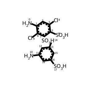 Nc1cc(Cl)c(S(=O)(=O)O)cc1Cl.Nc1cc(S(=O)(=O)O)cc(S(=O)(=O)O)c1